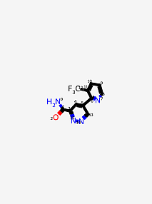 NC(=O)c1cc(-c2ncccc2C(F)(F)F)cnn1